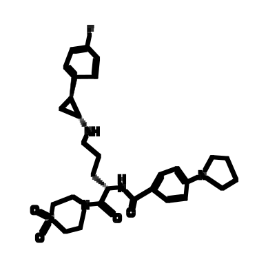 O=C(N[C@@H](CCCN[C@@H]1C[C@H]1c1ccc(F)cc1)C(=O)N1CCS(=O)(=O)CC1)c1ccc(N2CCCC2)cc1